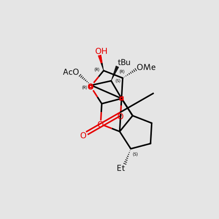 CC[C@H]1CCC23C4OC(=O)C12OC1O[C@@H](O)[C@H](OC)C13[C@H](C(C)(C)C)[C@H]4OC(C)=O